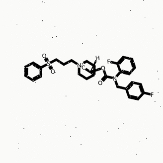 O=C(O[C@H]1C[N+]2(CCCS(=O)(=O)c3ccccc3)CCC1CC2)N(Cc1ccc(F)cc1)c1ccccc1F